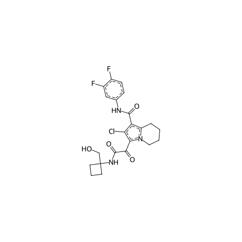 O=C(NC1(CO)CCC1)C(=O)c1c(Cl)c(C(=O)Nc2ccc(F)c(F)c2)c2n1CCCC2